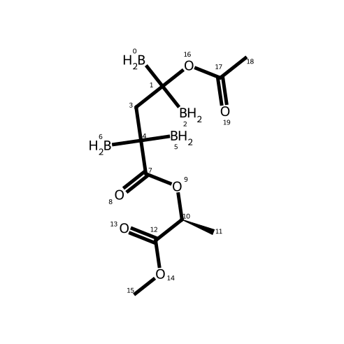 BC(B)(CC(B)(B)C(=O)O[C@@H](C)C(=O)OC)OC(C)=O